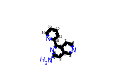 Nc1cc2cnccc2c(-c2ccccn2)n1